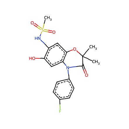 CC1(C)Oc2cc(NS(C)(=O)=O)c(O)cc2N(c2ccc(F)cc2)C1=O